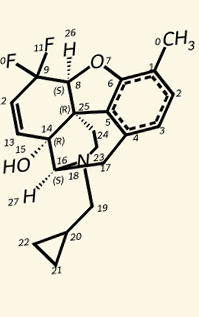 Cc1ccc2c3c1O[C@@H]1C(F)(F)C=C[C@]4(O)[C@H](C2)N(CC2CC2)CC[C@@]314